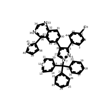 Fc1ccc(-c2nn(C(c3ccccc3)(c3ccccc3)c3ccccc3)cc2-c2ccc3ncnc(-c4cccs4)c3c2)cc1